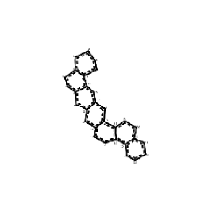 c1ccc2c(c1)ccc1cc3cc4ccc5c6ccccc6ccc5c4cc3cc12